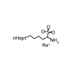 CCCCCCCCCCCC(N)S(=O)(=O)[O-].[Na+]